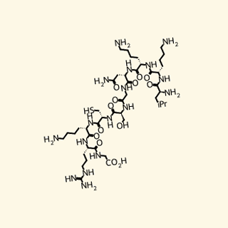 CC(C)C[C@H](N)C(=O)N[C@@H](CCCCN)C(=O)N[C@@H](CCCCN)C(=O)N[C@@H](CC(N)=O)C(=O)NCC(=O)N[C@@H](CO)C(=O)N[C@@H](CS)C(=O)N[C@@H](CCCCN)C(=O)N[C@@H](CCCNC(=N)N)C(=O)NCC(=O)O